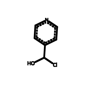 OC(Cl)c1ccncc1